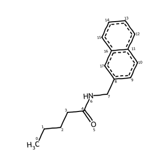 CCCCC(=O)NCc1ccc2ccccc2c1